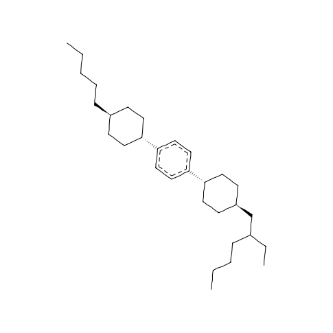 CCCCC[C@H]1CC[C@H](c2ccc([C@H]3CC[C@H](CC(CC)CCCC)CC3)cc2)CC1